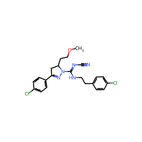 COCCC1[C]C(c2ccc(Cl)cc2)=NN1C(=NC#N)NCCc1ccc(Cl)cc1